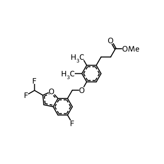 COC(=O)CCc1ccc(OCc2cc(F)cc3cc(C(F)F)oc23)c(C)c1C